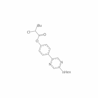 CCCCCCc1cnc(-c2ccc(OC(=O)C(Cl)C(C)CC)cc2)cn1